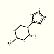 CN1CCN(c2cn[nH]c2)CC1.Cl